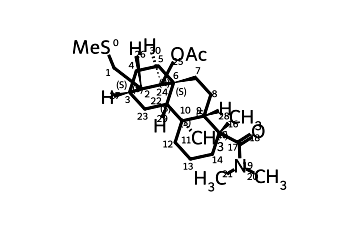 CSC[C@H]1[C@H]2CC[C@@]3(CC[C@H]4[C@@](C)(CCC[C@@]4(C)C(=O)N(C)C)[C@@H]3C2)[C@@H]1OC(C)=O